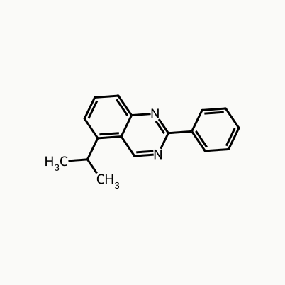 CC(C)c1cccc2nc(-c3ccccc3)ncc12